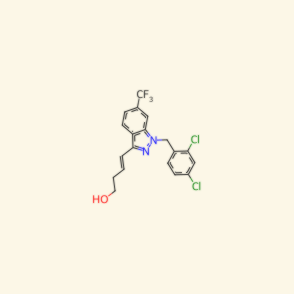 OCC/C=C/c1nn(Cc2ccc(Cl)cc2Cl)c2cc(C(F)(F)F)ccc12